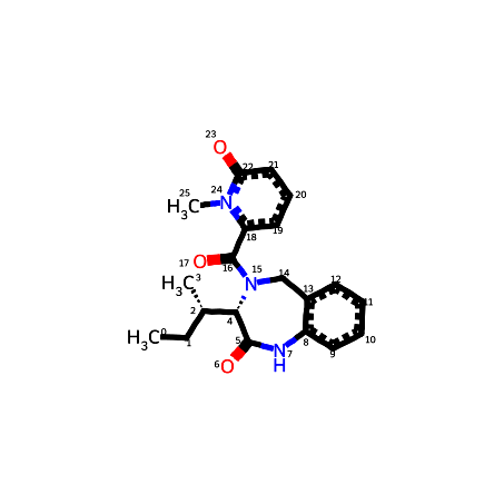 CC[C@H](C)[C@H]1C(=O)Nc2ccccc2CN1C(=O)c1cccc(=O)n1C